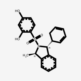 C[C@@H]1c2ccccc2[C@@H](C2C=CC=CC2)N1S(=O)(=O)c1ccc(O)cc1O